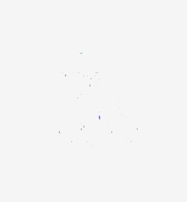 Cc1c(F)c(F)c(F)c(F)c1-c1cccc(F)c1-n1c2c(c3ccccc31)CCC=C2